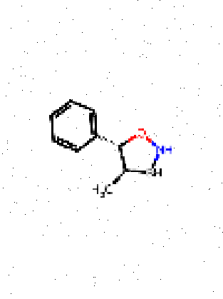 C[C@@H]1BNO[C@H]1c1ccccc1